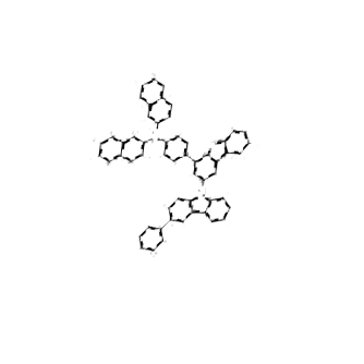 c1ccc(-c2ccc3c(c2)c2ccccc2n3-c2cc(-c3ccc(N(c4ccc5ccccc5c4)c4ccc5ccccc5c4)cc3)c3sc4ccccc4c3c2)cc1